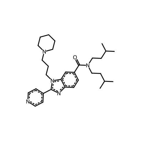 CC(C)CCN(CCC(C)C)C(=O)c1ccc2nc(-c3ccncc3)n(CCCN3CCCCC3)c2c1